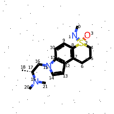 CN=S1(=O)CCCc2c1ccc1c2ccn1C[C@@H](C)N(C)C